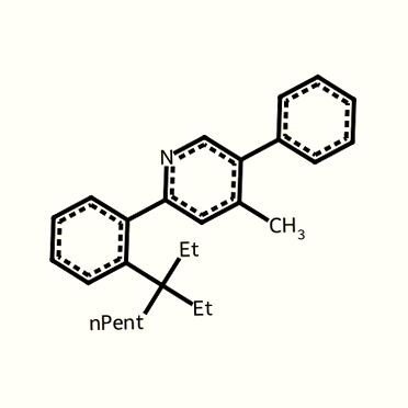 CCCCCC(CC)(CC)c1ccccc1-c1cc(C)c(-c2ccccc2)cn1